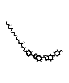 CCNCCOCCOCCNC(=O)CCOc1ccc(-c2nc3ccc(-c4nc5ccc(N6CCN(C)CC6)cc5[nH]4)cc3[nH]2)cc1